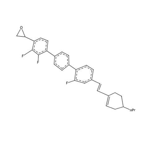 CCCC1CC=C(/C=C/c2ccc(-c3ccc(-c4ccc(C5CO5)c(F)c4F)cc3)c(F)c2)CC1